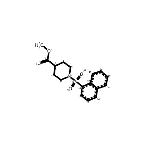 COC(=O)C1CCN(S(=O)(=O)c2cccc3ccccc23)CC1